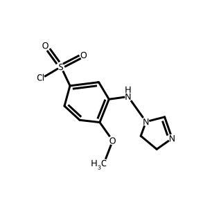 COc1ccc(S(=O)(=O)Cl)cc1NN1C=NCC1